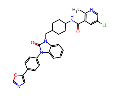 Cc1ncc(Cl)cc1C(=O)NC1CCC(Cn2c(=O)n(-c3ccc(-c4cnco4)cc3)c3ccccc32)CC1